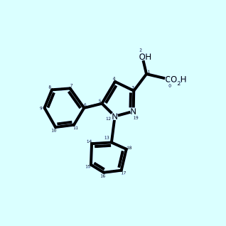 O=C(O)C(O)c1cc(-c2ccccc2)n(-c2ccccc2)n1